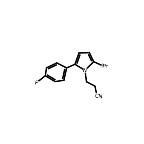 CC(C)c1ccc(-c2ccc(F)cc2)n1CCC#N